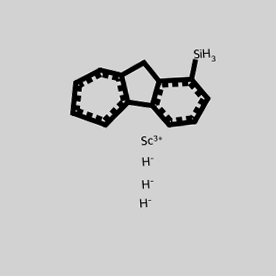 [H-].[H-].[H-].[Sc+3].[SiH3]c1cccc2c1Cc1ccccc1-2